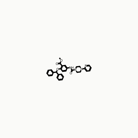 COC(=O)c1cc(NC(=O)N2CCN(c3ccccn3)CC2)ccc1OC(c1ccccc1)c1ccccc1